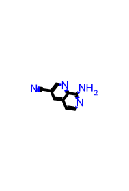 N#Cc1cnc2c(N)nccc2c1